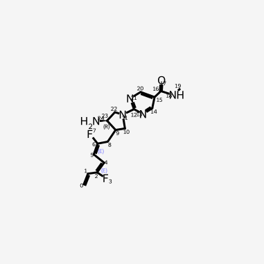 C=C/C(F)=C\C=C(\F)CC1CN(c2ncc(C(=O)NC)cn2)C[C@@H]1N